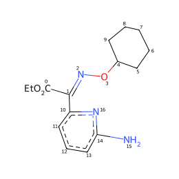 CCOC(=O)C(=NOC1CCCCC1)c1cccc(N)n1